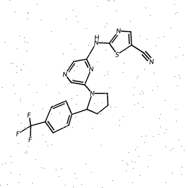 N#Cc1cnc(Nc2cncc(N3CCCC3c3ccc(C(F)(F)F)cc3)n2)s1